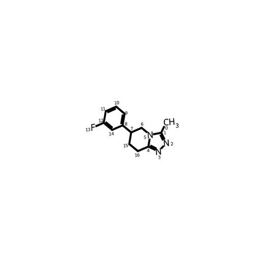 Cc1nnc2n1CC(c1cccc(F)c1)CC2